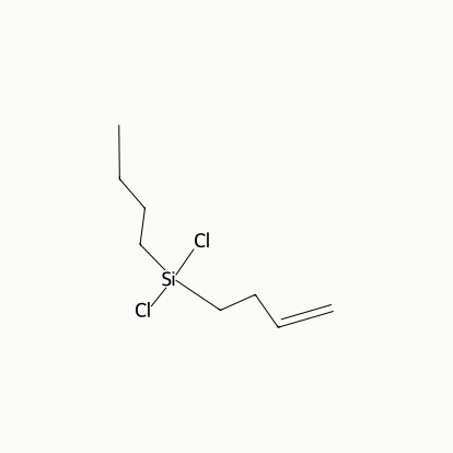 C=CCC[Si](Cl)(Cl)CCCC